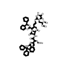 CCOC(Cn1c(SC=CC2=C(C(=O)OC(c3ccccc3)c3ccccc3)N3C(=O)C(NC(=O)C(=NOC)c4csc(NC(c5ccccc5)(c5ccccc5)c5ccccc5)n4)C3[S+]([O-])C2)n[nH]c(=O)c1=O)OCC